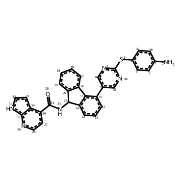 Nc1ccc(Sc2ncc(-c3cccc4c3-c3ccccc3C4NC(=O)c3ccnc4[nH]ccc34)cn2)cc1